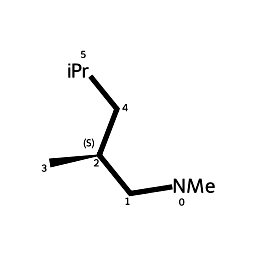 CNC[C@@H](C)CC(C)C